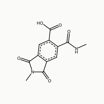 CNC(=O)c1cc2c(cc1C(=O)O)C(=O)N(C)C2=O